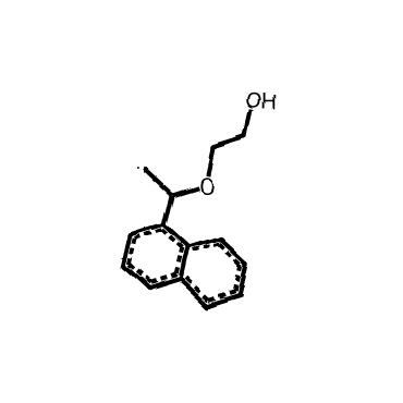 [CH2]C(OCCO)c1cccc2ccccc12